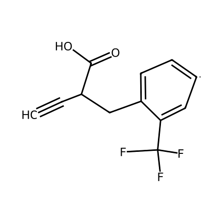 C#CC(Cc1cc[c]cc1C(F)(F)F)C(=O)O